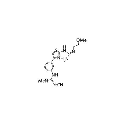 CN/C(=N/C#N)Nc1cccc(-c2csc(N/C(N)=N\CCOC)n2)c1